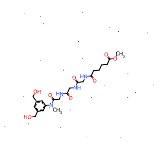 COC(=O)CCCCC(=O)NCC(=O)NCC(=O)NCC(=O)N(C)c1cc(CO)cc(CO)c1